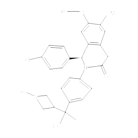 COc1cc2c(cc1OC(C)C)[C@H](c1ccc(Cl)cc1)N(c1ccc(C(C)(O)C3CN(C(C)=O)C3)cc1)C(=O)C2